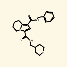 O=C(NCc1ccccc1)c1cc(C(=O)NCC2CCOCC2)n2c1CCCC2